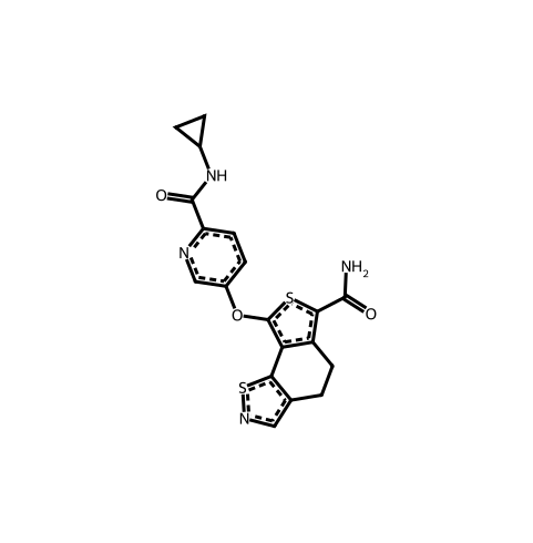 NC(=O)c1sc(Oc2ccc(C(=O)NC3CC3)nc2)c2c1CCc1cnsc1-2